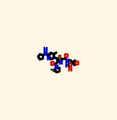 Cc1cc(NC2CCCC2)ncc1-c1sc(C(=O)NCC2(O)COC2)nc1C(=O)N1CCC[C@@H]1C